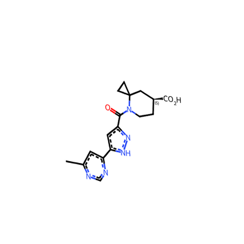 Cc1cc(-c2cc(C(=O)N3CC[C@H](C(=O)O)CC34CC4)n[nH]2)ncn1